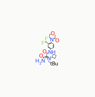 CC(C)(C)CN(C1CCC1)[C@@H](C(N)=O)C(=O)Nc1ccc(N2CCOCC2=O)c(C(F)F)c1